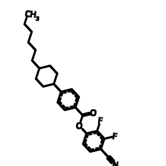 CCCCCCC1CCC(c2ccc(C(=O)Oc3ccc(C#N)c(F)c3F)cc2)CC1